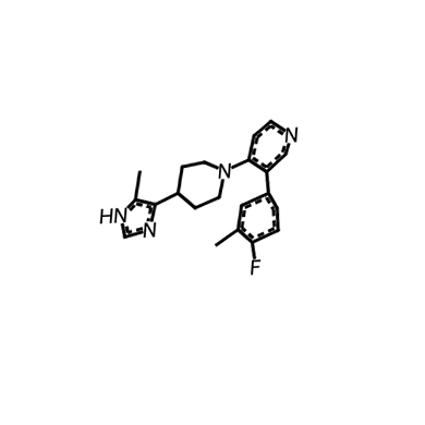 Cc1cc(-c2cnccc2N2CCC(c3nc[nH]c3C)CC2)ccc1F